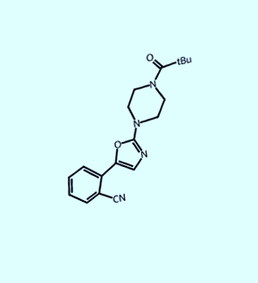 CC(C)(C)C(=O)N1CCN(c2ncc(-c3ccccc3C#N)o2)CC1